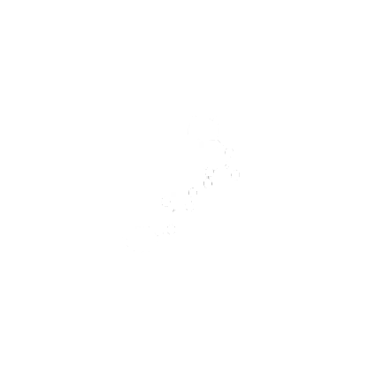 O=C(OOOOC(=O)OC1CCCCC1)OC1CCCCC1